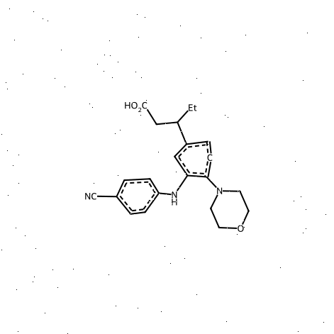 CCC(CC(=O)O)c1ccc(N2CCOCC2)c(Nc2ccc(C#N)cc2)c1